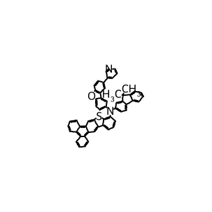 CC1(C)c2ccccc2-c2ccc(N(c3ccc4oc5ccc(-c6cccnc6)cc5c4c3)c3cccc4c3sc3cc5c6ccccc6c6ccccc6c5cc34)cc21